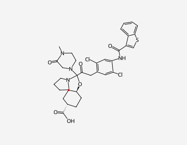 CN1CCN(C(O[C@H]2CC[C@H](C(=O)O)CC2)(C(=O)Cc2cc(Cl)c(NC(=O)c3csc4ccccc34)cc2Cl)N2CCCC2)CC1=O